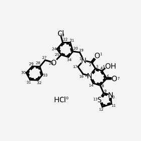 Cl.O=C1c2c(O)c(=O)c(-c3nccs3)cn2CCN1Cc1cc(Cl)cc(OCc2ccccc2)c1